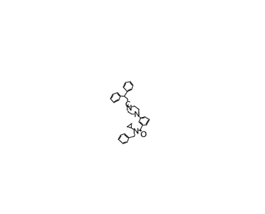 O=C(c1cccc(N2CCN(CCC(c3ccccc3)c3ccccc3)CC2)c1)N(Cc1ccccc1)C1CC1